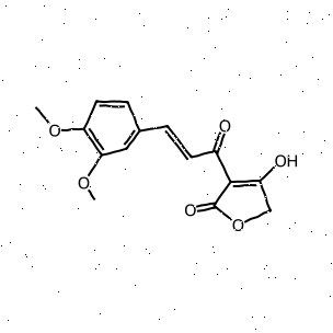 COc1ccc(/C=C/C(=O)C2=C(O)COC2=O)cc1OC